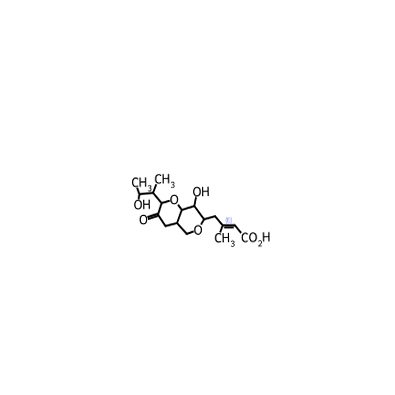 C/C(=C\C(=O)O)CC1OCC2CC(=O)C(C(C)C(C)O)OC2C1O